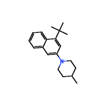 CC1CCN(c2cc(C(C)(C)C)c3ccccc3c2)CC1